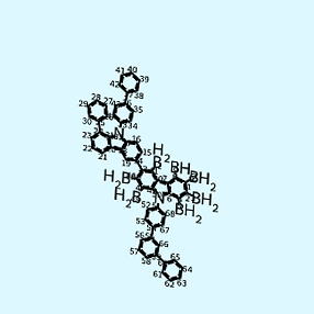 Bc1c(B)c(B)c2c(c1B)c1c(B)c(-c3ccc4c(c3)c3cccc(-c5ccccc5)c3n4-c3ccc(-c4ccccc4)cc3)c(B)c(B)c1n2-c1ccc(-c2cccc(-c3ccccc3)c2)cc1